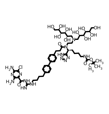 CC(C)(C)OC(=O)NCCCC[C@@H](c1nnn[nH]1)N(CCN(C[C@H](O)[C@@H](O)[C@H](O)[C@H](O)CO)C[C@H](O)[C@@H](O)[C@H](O)[C@H](O)CO)C(=O)CCc1ccc(-c2ccc(CCCCNC(=N)NC(=O)c3nc(Cl)c(N)nc3N)cc2)cc1